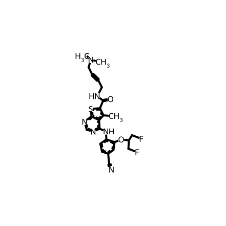 Cc1c(C(=O)NCC#CCN(C)C)sc2ncnc(Nc3ccc(C#N)cc3OC(CF)CF)c12